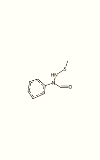 CSNN(C=O)c1ccccc1